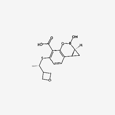 C[C@H](Sc1ccc2c(c1C(=O)O)OB(O)[C@H]1CC21)C1COC1